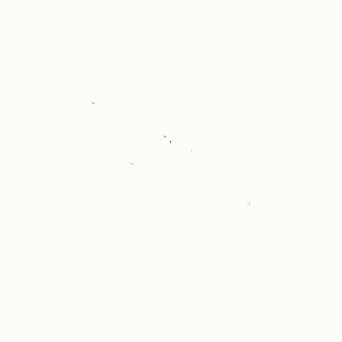 CC(C)=CC(C(=O)N1C(=O)C2C3CCC(C3)C21)C(C)(C)C